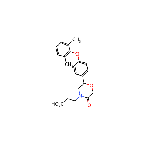 Cc1cccc(C)c1Oc1ccc(C2CN(CCC(=O)O)C(=O)CO2)cc1